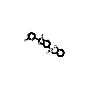 O=S(=O)(Cc1ccccc1Cl)c1ccc2[nH]c(-c3cccc(F)n3)nc2c1